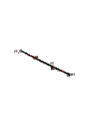 CCCCCCCCCCCCCCCCOC(=O)CCCCCCCCCCCCCCCCCNC(CN)CCCCCCCCCCCCCCCCCC(=O)O